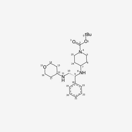 CC(C)(C)OC(=O)N1CCC(N[C@@H](CNC2CCOCC2)c2ccccc2)CC1